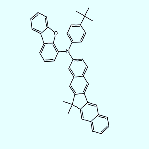 CC(C)(C)c1ccc(N(c2ccc3cc4c(cc3c2)C(C)(C)c2cc3ccccc3cc2-4)c2cccc3c2oc2ccccc23)cc1